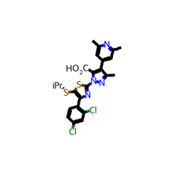 Cc1cc(-c2c(C)nn(-c3nc(-c4ccc(Cl)cc4Cl)c(SC(C)C)s3)c2C(=O)O)cc(C)n1